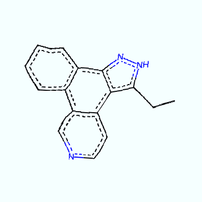 CCc1[nH]nc2c3ccccc3c3cnccc3c12